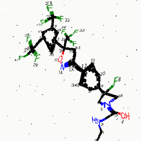 CCNC(O)N1CC(F)(c2ccc(C3=NOC(c4cc(C(F)(F)F)cc(C(F)(F)F)c4)(C(F)(F)F)C3)cc2)C1